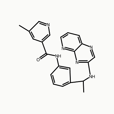 Cc1cncc(C(=O)Nc2cccc(C(C)Nc3cnc4cccnc4n3)c2)c1